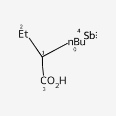 CCCCC(CC)C(=O)O.[Sb]